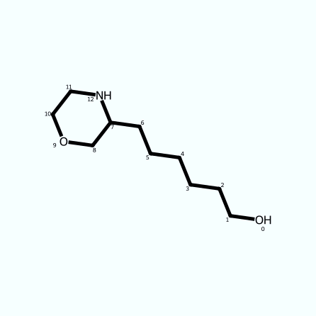 OCCCCCCC1COCCN1